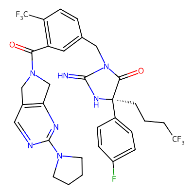 N=C1N[C@](CCCC(F)(F)F)(c2ccc(F)cc2)C(=O)N1Cc1ccc(C(F)(F)F)c(C(=O)N2Cc3cnc(N4CCCC4)nc3C2)c1